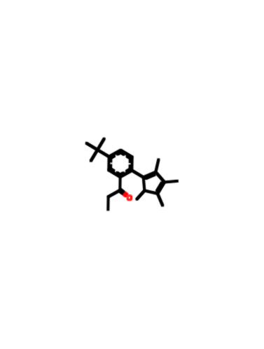 CCC(=O)c1cc(C(C)(C)C)ccc1C1=C(C)C(C)=C(C)C1C